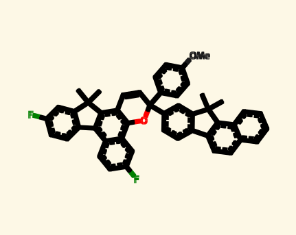 COc1ccc(C2(c3ccc4c(c3)C(C)(C)c3c-4ccc4ccccc34)C=Cc3c4c(c5ccc(F)cc5c3O2)-c2ccc(F)cc2C4(C)C)cc1